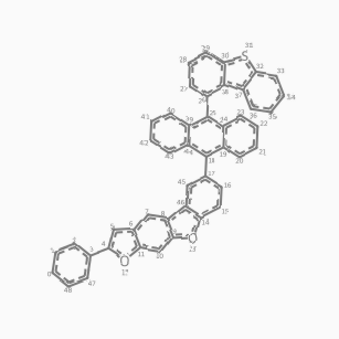 c1ccc(-c2cc3cc4c(cc3o2)oc2ccc(-c3c5ccccc5c(-c5cccc6sc7ccccc7c56)c5ccccc35)cc24)cc1